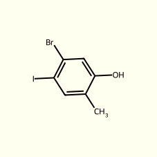 Cc1cc(I)c(Br)cc1O